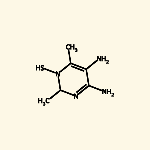 CC1=C(N)C(N)=NC(C)N1S